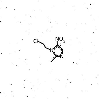 Cc1ncc([N+](=O)[O-])n1CCCl